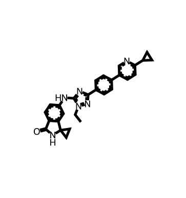 CCn1nc(-c2ccc(-c3ccc(C4CC4)nc3)cc2)nc1Nc1ccc2c(c1)C1(CC1)NC2=O